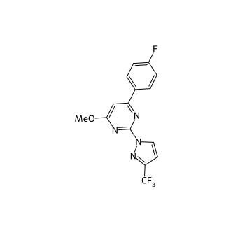 COc1cc(-c2ccc(F)cc2)nc(-n2ccc(C(F)(F)F)n2)n1